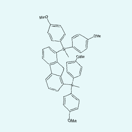 COc1ccc([Si](C)(c2ccc(OC)cc2)c2cccc3c2Cc2c-3cccc2[Si](C)(c2ccc(OC)cc2)c2ccc(OC)cc2)cc1